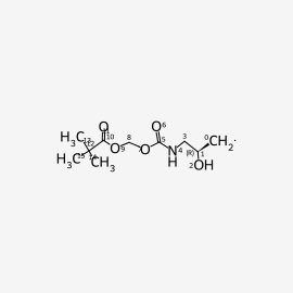 [CH2][C@@H](O)CNC(=O)OCOC(=O)C(C)(C)C